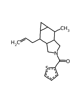 C=CCC1C2CC2C(C)C2CN(C(=O)c3cccs3)CC21